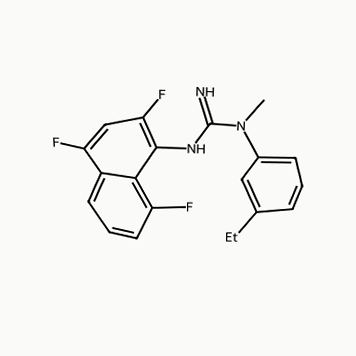 CCc1cccc(N(C)C(=N)Nc2c(F)cc(F)c3cccc(F)c23)c1